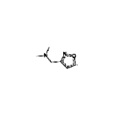 CN(C)Cc1c[c]on1